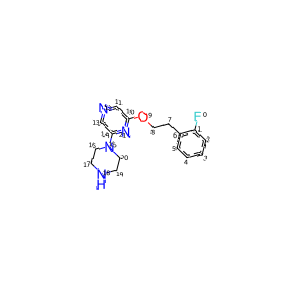 Fc1ccccc1CCOc1cncc(N2CCNCC2)n1